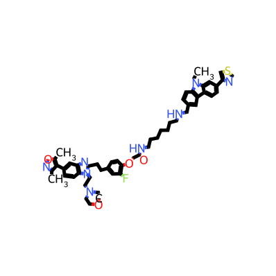 CCn1c2ccc(CNCCCCCCCNC(=O)COc3ccc(CCc4nc5cc(-c6c(C)noc6C)ccc5n4CCN4CCOCC4)cc3F)cc2c2ccc(-c3cscn3)cc21